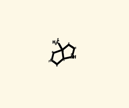 CC12CCNC1C[N]C2